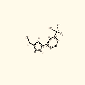 FC(F)(F)c1cccc(-c2ncc(CCl)s2)c1